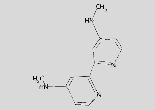 CNc1ccnc(-c2cc(NC)ccn2)c1